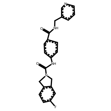 O=C(NCc1cccnc1)c1ccc(NC(=O)N2Cc3ccc(F)cc3C2)cc1